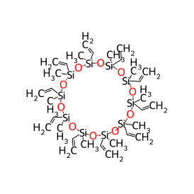 C=C[Si]1(C)O[Si](C)(C=C)O[Si](C)(C=C)O[Si](C)(C=C)O[Si](C)(C=C)O[Si](C)(C=C)O[Si](C)(C=C)O[Si](C)(C=C)O[Si](C)(C=C)O[Si](C)(C=C)O1